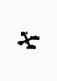 CCCCC([O])(CC)CCCC